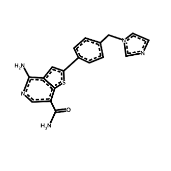 NC(=O)c1cnc(N)c2cc(-c3ccc(Cn4ccnc4)cc3)sc12